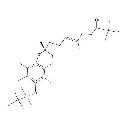 C/C(=C\CC[C@]1(C)CCc2c(C)c(O[Si](C)(C)C(C)(C)C)c(C)c(C)c2O1)CCC(O)C(C)(C)Br